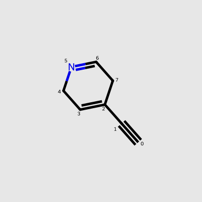 C#CC1=CCN=CC1